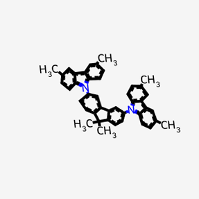 Cc1ccc2c(c1)c1cc(C)ccc1n2-c1ccc2c(c1)-c1cc(-n3c4ccc(C)cc4c4cc(C)ccc43)ccc1C2(C)C